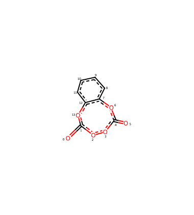 O=c1ooc(=O)oc2ccccc2o1